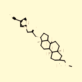 COC[C@@]1(O)CC[C@H]2[C@H](CC[C@@H]3[C@@H]2CC[C@]2(C)[C@@H](CC(=O)Cn4cc(C#N)cn4)CC[C@@H]32)C1